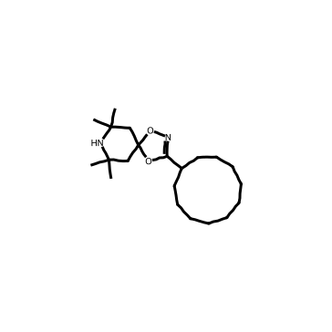 CC1(C)CC2(CC(C)(C)N1)ON=C(C1CCCCCCCCCC1)O2